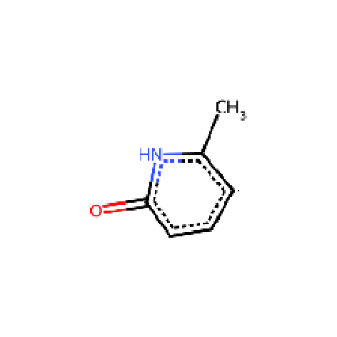 Cc1[c]ccc(=O)[nH]1